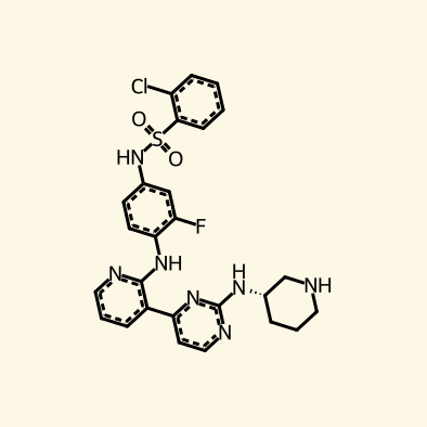 O=S(=O)(Nc1ccc(Nc2ncccc2-c2ccnc(N[C@H]3CCCNC3)n2)c(F)c1)c1ccccc1Cl